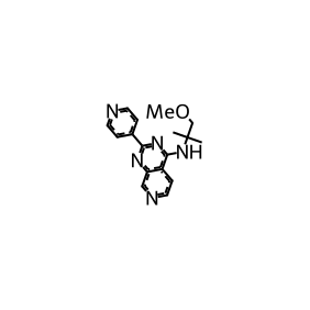 COCC(C)(C)Nc1nc(-c2ccncc2)nc2cnccc12